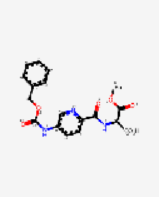 CCC(C)OC(=O)C(NC(=O)c1ccc(NC(=O)OCc2ccccc2)cn1)C(=O)O